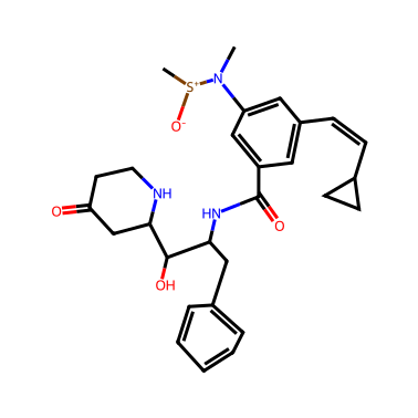 CN(c1cc(/C=C\C2CC2)cc(C(=O)NC(Cc2ccccc2)C(O)C2CC(=O)CCN2)c1)[S+](C)[O-]